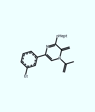 C=C(C)N1C=C(c2cccc(CC)c2)N=C(CCCCCCC)C1=C